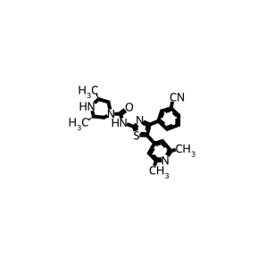 Cc1cc(-c2sc(NC(=O)N3C[C@@H](C)N[C@@H](C)C3)nc2-c2cccc(C#N)c2)cc(C)n1